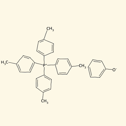 Cc1ccc([P+](c2ccc(C)cc2)(c2ccc(C)cc2)c2ccc(C)cc2)cc1.[O-]c1ccccc1